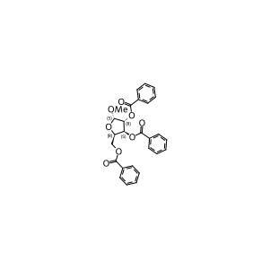 CO[C@H]1O[C@H](COC(=O)c2ccccc2)[C@H](OC(=O)c2ccccc2)[C@H]1OC(=O)c1ccccc1